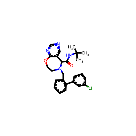 CC(C)(C)NC(=O)C1c2cncnc2OCCN1Cc1ccccc1-c1cccc(Cl)c1